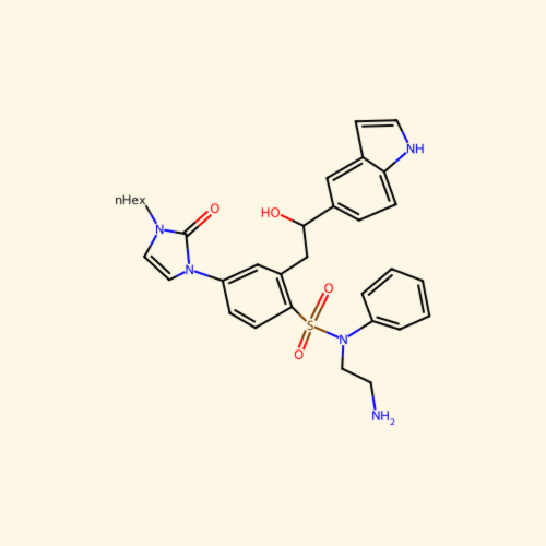 CCCCCCn1ccn(-c2ccc(S(=O)(=O)N(CCN)c3ccccc3)c(CC(O)c3ccc4[nH]ccc4c3)c2)c1=O